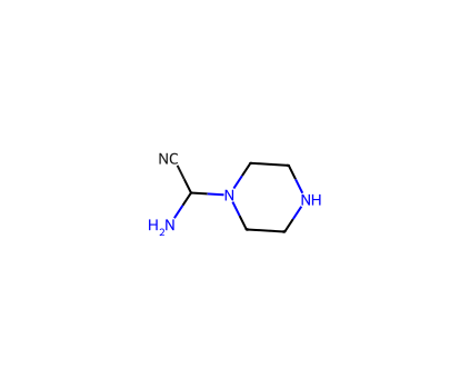 N#CC(N)N1CCNCC1